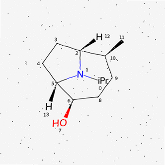 CC(C)N1[C@@H]2CC[C@H]1[C@H](O)CC[C@@H]2C